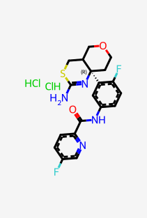 Cl.Cl.NC1=N[C@]2(c3cc(NC(=O)c4ccc(F)cn4)ccc3F)CCOCC2CS1